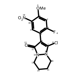 COc1cc(F)c(-c2c(Cl)n3n(c2=O)CCCC3)cc1[N+](=O)[O-]